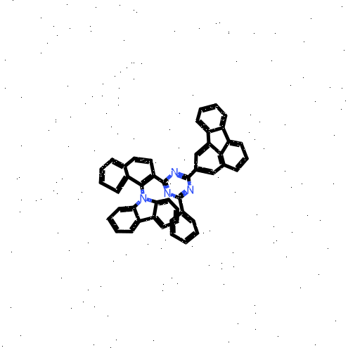 c1ccc(-c2nc(-c3cc4c5c(cccc5c3)-c3ccccc3-4)nc(-c3ccc4ccccc4c3-n3c4ccccc4c4ccccc43)n2)cc1